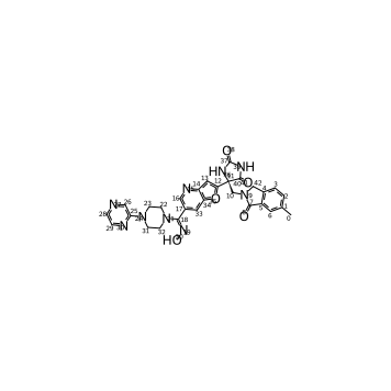 Cc1ccc2c(c1)C(=O)N(C[C@@]1(c3cc4ncc(C(=NO)N5CCN(c6cnccn6)CC5)cc4o3)NC(=O)NC1=O)C2